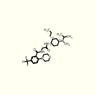 CCC[C@@H]1C[C@@H](N(C)C(C)C)CC[C@@H]1NC(=O)CNC(=O)c1cc(C(F)(F)F)ccc1N1CCOCC1